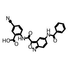 N#Cc1ccc(NC(=O)c2onc3ccc(NC(=O)c4ccccc4)cc23)c(C(=O)O)c1